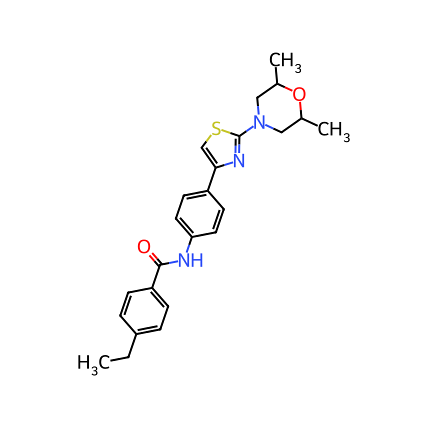 CCc1ccc(C(=O)Nc2ccc(-c3csc(N4CC(C)OC(C)C4)n3)cc2)cc1